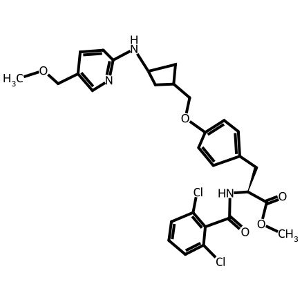 COCc1ccc(NC2CC(COc3ccc(C[C@H](NC(=O)c4c(Cl)cccc4Cl)C(=O)OC)cc3)C2)nc1